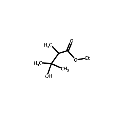 CCOC(=O)C(C)C(C)(C)O